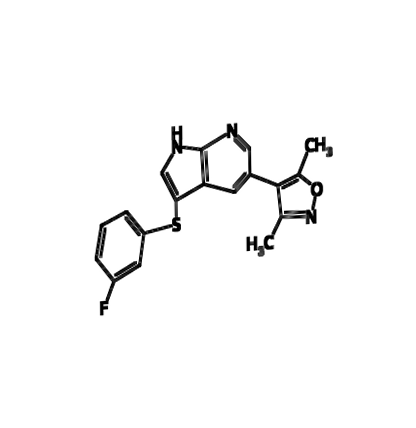 Cc1noc(C)c1-c1cnc2[nH]cc(Sc3cccc(F)c3)c2c1